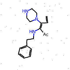 C=C/C(=C(/NCCc1ccccc1)C(C)=O)N1CCNCC1